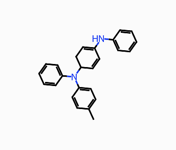 Cc1ccc(N(c2ccccc2)C2C=CC(Nc3ccccc3)=CC2)cc1